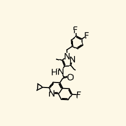 Cc1nn(Cc2ccc(F)c(F)c2)c(C)c1NC(=O)c1cc(C2CC2)nc2ccc(F)cc12